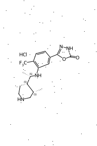 C[C@@H]1CNCC[C@@H]1[C@H](C)Nc1cc(-c2n[nH]c(=O)o2)ccc1C(F)(F)F.Cl